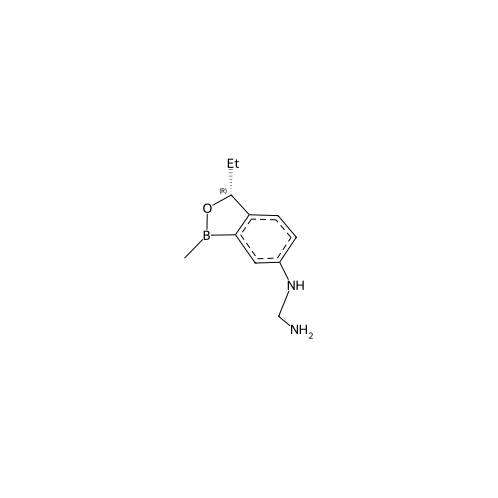 CC[C@H]1OB(C)c2cc(NCN)ccc21